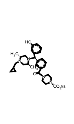 CCOC(=O)N1CCN(C(=O)c2cccc([C@H](c3cccc(O)c3)N3C[C@@H](C)N(CC4CC4)C[C@@H]3C)c2)CC1